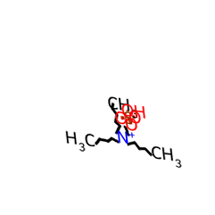 CCCCCC[N+](CCCCCC)(CCCCCC)CCOS(=O)(=O)O